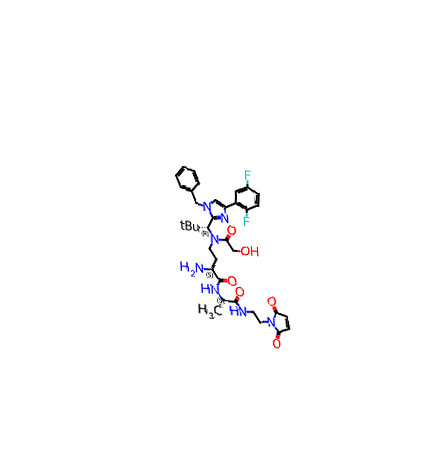 C[C@H](NC(=O)[C@@H](N)CCN(C(=O)CO)[C@@H](c1nc(-c2cc(F)ccc2F)cn1Cc1ccccc1)C(C)(C)C)C(=O)NCCN1C(=O)C=CC1=O